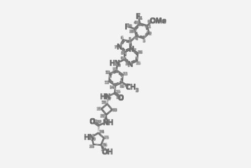 COc1ccc(-c2cnc3c(Nc4ccc(C(=O)N[C@H]5C[C@H](NC(=O)[C@@H]6C[C@@H](O)CN6)C5)c(C)c4)nccn23)c(F)c1F